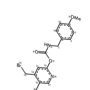 COc1ccc(CNC(=O)Oc2cc(CBr)c(C)cn2)cc1